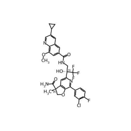 COc1cc(C(=O)NC[C@](O)(c2cc3c(c(-c4ccc(F)c(Cl)c4)n2)OC[C@]3(C)C(N)=O)C(F)(F)F)cc2cc(C3CC3)cnc12